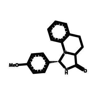 COc1ccc([C@H]2NC(=O)C3CCc4ccccc4N32)cc1